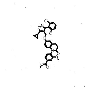 COC(=O)c1ccc(N2C(=O)CCc3cc(OCc4c(-c5c(Cl)cccc5Cl)noc4C4CC4)ccc32)c(OC)c1